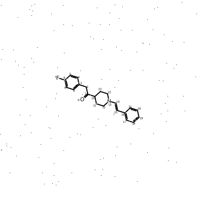 O=C(Cc1ccc(F)cc1)C1CCN(C=Cc2ccccc2)CC1